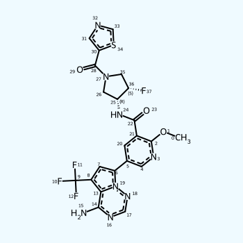 COc1ncc(-c2cc(C(F)(F)F)c3c(N)ncnn23)cc1C(=O)N[C@@H]1CN(C(=O)c2cncs2)C[C@@H]1F